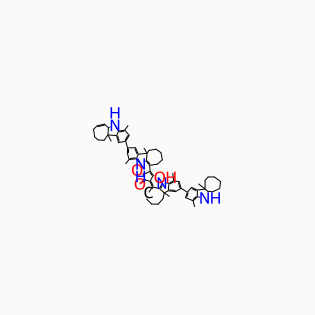 Cc1cc(-c2cc(C)c3c(c2)C2(C)CCCCCCC2N3)cc2c1N=C1/C(=C3/C(=O)C(=O)C(C4=C5\Nc6c(C)cc(-c7cc(C)c8c(c7)C7(C)CCCC/C=C\C7N8)cc6C5(C)CCCCC\4)=C3O)CCCCCC12C